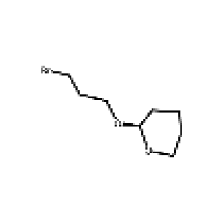 BrCCCO[C@H]1CCCCO1